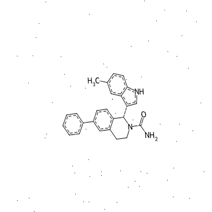 Cc1ccc2[nH]cc(C3c4ccc(-c5ccccc5)cc4CCN3C(N)=O)c2c1